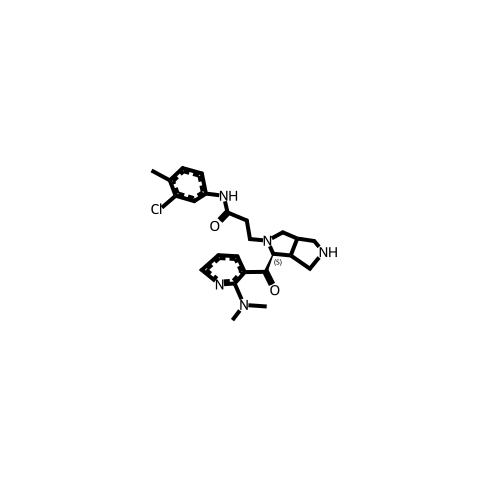 Cc1ccc(NC(=O)CCN2CC3CNCC3[C@H]2C(=O)c2cccnc2N(C)C)cc1Cl